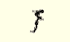 Cc1c(Nc2nc3ccccc3s2)nnc2c1CCCN2c1nc(C(=O)O)c(CCCOc2ccc(C#CCN(I)CCCO)cc2F)s1